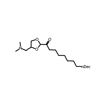 CCCCCCCCCCCCCCCCCC(=O)C1OCC(CN(C)C)O1